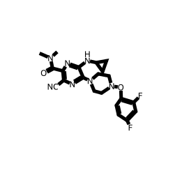 CN(C)C(=O)c1nc(NC2CC2)c(N2CCN(Oc3ccc(F)cc3F)CC2)nc1C#N